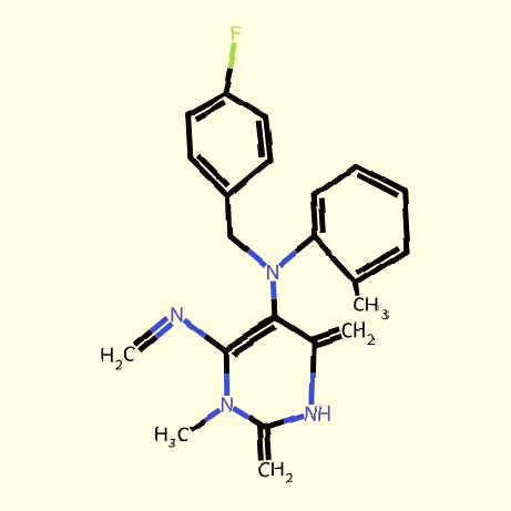 C=NC1=C(N(Cc2ccc(F)cc2)c2ccccc2C)C(=C)NC(=C)N1C